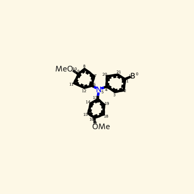 [B]c1ccc(N(c2ccc(OC)cc2)c2ccc(OC)cc2)cc1